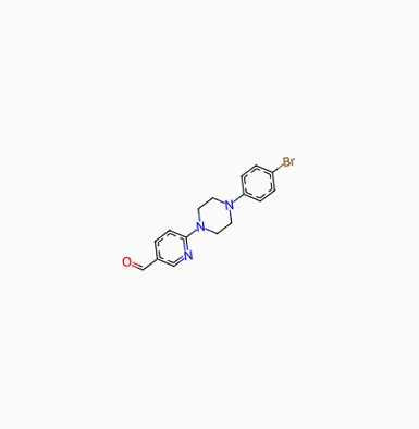 O=Cc1ccc(N2CCN(c3ccc(Br)cc3)CC2)nc1